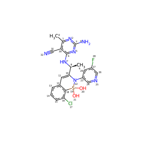 Cc1nc(N)nc(N[C@@H](C)C2=Cc3cccc(Cl)c3S(O)(O)N2c2cncc(F)c2)c1C#N